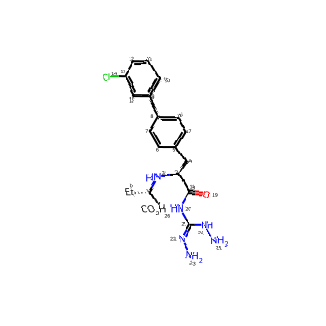 CC[C@H](N[C@@H](Cc1ccc(-c2cccc(Cl)c2)cc1)C(=O)N/C(=N/N)NN)C(=O)O